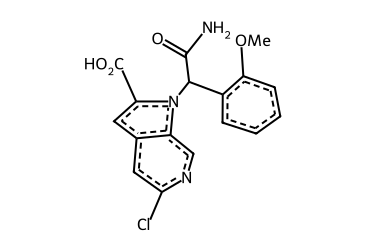 COc1ccccc1C(C(N)=O)n1c(C(=O)O)cc2cc(Cl)ncc21